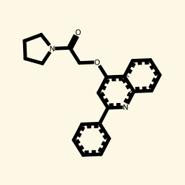 O=C(COc1cc(-c2ccccc2)nc2ccccc12)N1CCCC1